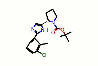 Cc1c(Cl)cccc1-c1ncc([C@@H]2CCCN2C(=O)OC(C)(C)C)[nH]1